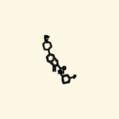 CC(C)N1CCC(c2ccc3[nH]c(C(=O)Nc4cccc(F)c4)cc3c2)CC1